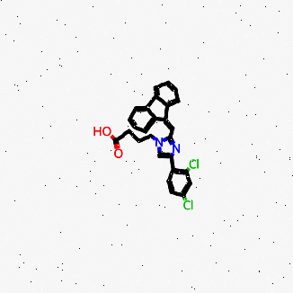 O=C(O)CCCn1cc(-c2ccc(Cl)cc2Cl)nc1C=C1c2ccccc2-c2ccccc21